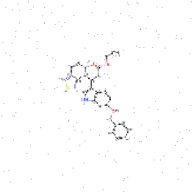 CCOC(=O)CC(c1c[nH]c2cc(OCc3ccccc3)ccc12)c1cccc2nsnc12